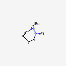 CCN1CCCCN1C(C)(C)C